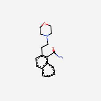 NC(=O)c1c(CCN2CCOCC2)ccc2ccccc12